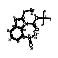 CC(C)(C)OC(=O)n1c(CBr)nc2cccc([N+](=O)[O-])c21